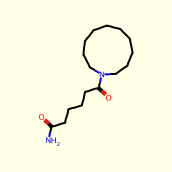 NC(=O)CCCCC(=O)N1CCCCCCCCCC1